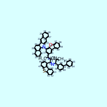 C=C(C)C(/N=C(\C(C)=C(/C)c1cc(-n2c3cc4ccccc4cc3c3ccc4ccccc4c32)c2oc3ccccc3c2c1)c1cccc2sc3ccccc3c12)c1cccc(-c2ccccc2)c1